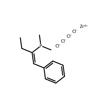 CCC(=Cc1ccccc1)P(C)C.[Cl-].[Cl-].[Cl-].[Cl-].[Zr+4]